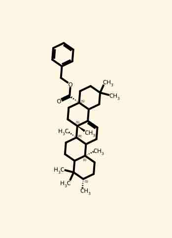 C[C@H]1CC[C@@]2(C)C(CC[C@]3(C)C2CC=C2C4CC(C)(C)CC[C@]4(C(=O)OCc4ccccc4)CC[C@]23C)C1(C)C